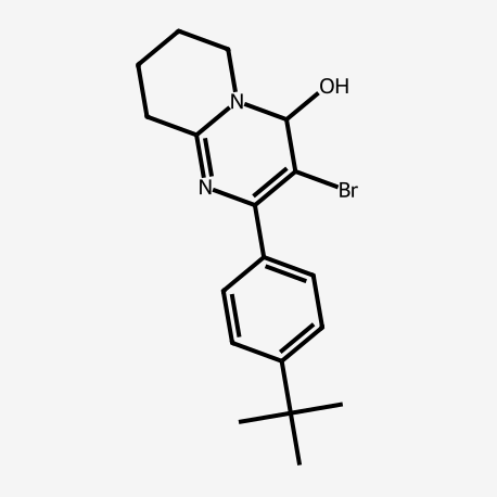 CC(C)(C)c1ccc(C2=C(Br)C(O)N3CCCCC3=N2)cc1